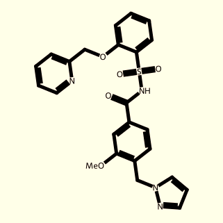 COc1cc(C(=O)NS(=O)(=O)c2ccccc2OCc2ccccn2)ccc1Cn1cccn1